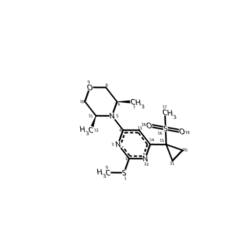 CSc1nc(N2[C@H](C)COC[C@@H]2C)cc(C2(S(C)(=O)=O)CC2)n1